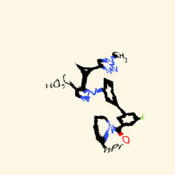 CCCC1CCCCN1C(=O)c1cc(F)cc(-c2cccc(-n3ncc(C(=O)O)c3C3CC3c3cn(C)nn3)c2)c1